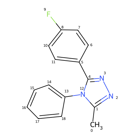 Cc1nnc(-c2ccc(F)cc2)n1-c1ccccc1